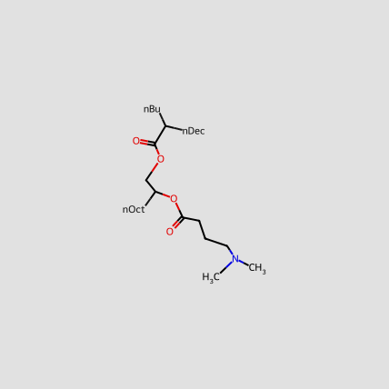 CCCCCCCCCCC(CCCC)C(=O)OCC(CCCCCCCC)OC(=O)CCCN(C)C